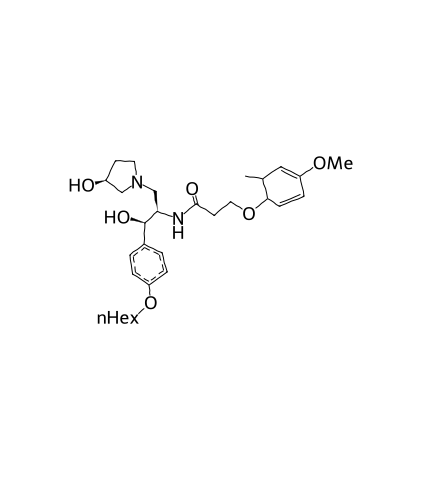 CCCCCCOc1ccc([C@@H](O)[C@@H](CN2CC[C@H](O)C2)NC(=O)CCOC2C=CC(OC)=CC2C)cc1